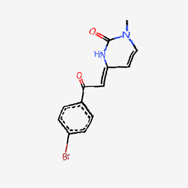 CN1C=CC(=CC(=O)c2ccc(Br)cc2)NC1=O